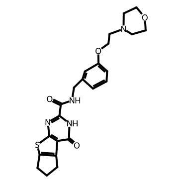 O=C(NCc1cccc(OCCN2CCOCC2)c1)c1nc2sc3c(c2c(=O)[nH]1)CCC3